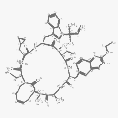 C=CC(C)(C)n1cc(C[C@@H]2NC(=O)[C@H](CC3CC3)NC(=O)[C@H](CC(C)C)N3CC/C=C\C[C@@H](C3=O)N(C)C(=O)[C@H](C)NC(=O)[C@H](Cc3ccc4nc(OCF)ncc4c3)NC(=O)[C@H](CC(C)C)N(C)C2=O)c2ccccc21